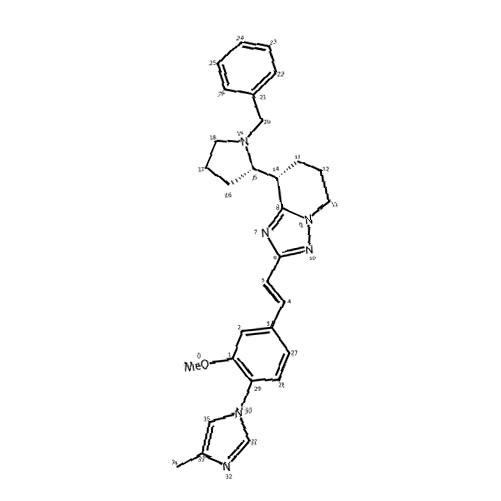 COc1cc(/C=C/c2nc3n(n2)CCC[C@H]3[C@@H]2CCCN2Cc2ccccc2)ccc1-n1cnc(C)c1